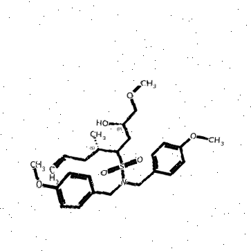 C=CC[C@H](C)C(C[C@@H](O)COC)S(=O)(=O)N(Cc1ccc(OC)cc1)Cc1ccc(OC)cc1